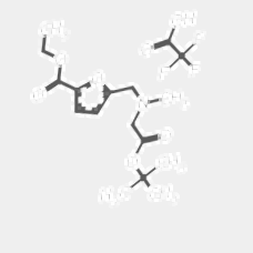 CCOC(=O)c1ccc(CN(C)CC(=O)OC(C)(C)C)o1.O=C(O)C(F)(F)F